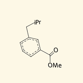 COC(=O)c1cccc(CC(C)C)c1